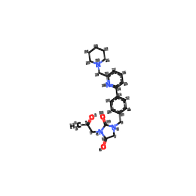 CC(=O)CN1C(=O)CN(Cc2ccc(-c3cccc(CN4CCCCC4)n3)cc2)C1=O